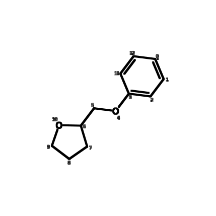 [c]1ccc(OCC2CCCO2)cc1